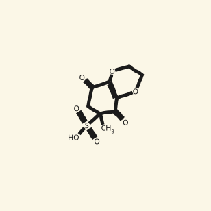 CC1(S(=O)(=O)O)CC(=O)C2=C(OCCO2)C1=O